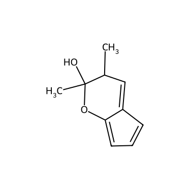 CC1C=C2C=CC=C2OC1(C)O